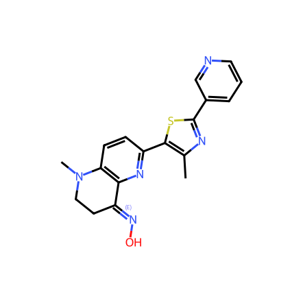 Cc1nc(-c2cccnc2)sc1-c1ccc2c(n1)/C(=N/O)CCN2C